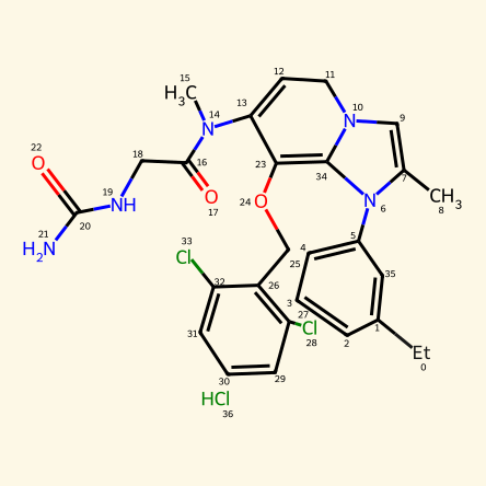 CCc1cccc(N2C(C)=CN3CC=C(N(C)C(=O)CNC(N)=O)C(OCc4c(Cl)cccc4Cl)=C32)c1.Cl